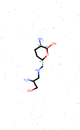 NC(CO)CNC[C@@H]1CC[C@@H](N)[C@@H](O)O1